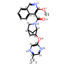 CCOc1ncc2ccccc2c1C(=O)N1CC2CC(Oc3cnc(C(F)(F)F)cn3)C1C2